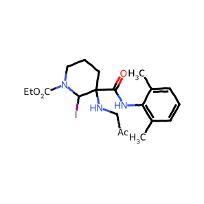 CCOC(=O)N1CCCC(NCC(C)=O)(C(=O)Nc2c(C)cccc2C)C1I